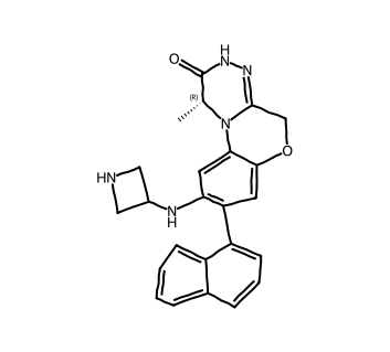 C[C@@H]1C(=O)NN=C2COc3cc(-c4cccc5ccccc45)c(NC4CNC4)cc3N21